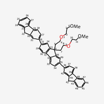 COCCOCCC1(CCOCCOC)c2cc(-c3ccc4c(c3)Cc3ccccc3-4)ccc2-c2ccc(-c3ccc4c(c3)Cc3ccccc3-4)cc21